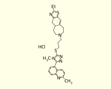 CCc1nc2c(s1)C=C1CCN(CCCSc3nnc(-c4cccc5nc(C)ccc45)n3C)CCC1C2.Cl